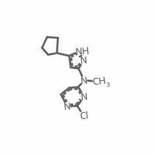 CN(c1cc(C2CCCC2)[nH]n1)c1ccnc(Cl)n1